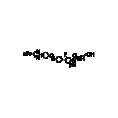 CCCc1cnc(N2CCC(ON=C3CCC(c4cc(F)c(NC(=O)NCCCO)cc4F)CC3)CC2)nc1